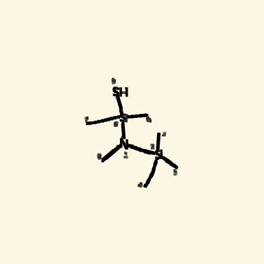 CN([Si](C)(C)C)[Si](C)(C)S